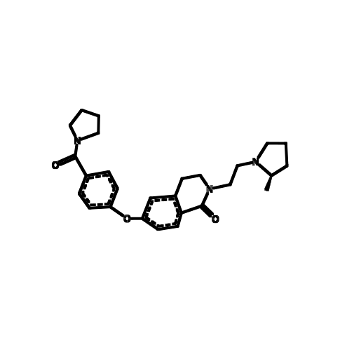 C[C@@H]1CCCN1CCN1CCc2cc(Oc3ccc(C(=O)N4CCCC4)cc3)ccc2C1=O